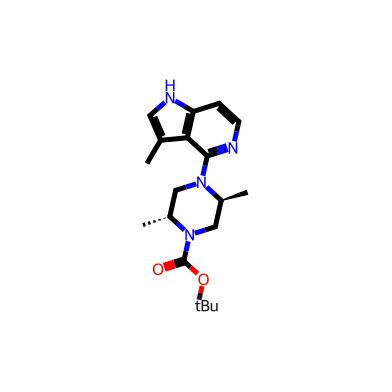 Cc1c[nH]c2ccnc(N3C[C@@H](C)N(C(=O)OC(C)(C)C)C[C@@H]3C)c12